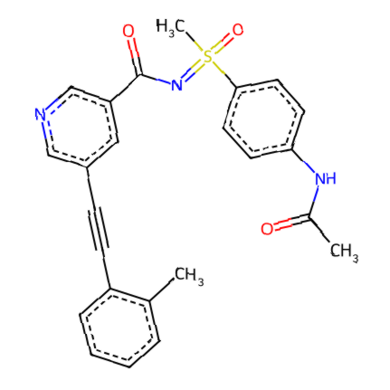 CC(=O)Nc1ccc(S(C)(=O)=NC(=O)c2cncc(C#Cc3ccccc3C)c2)cc1